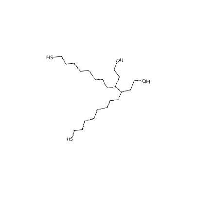 OCCC(CCCCCCCCS)C(CCO)CCCCCCCCS